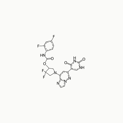 O=C(Nc1ccc(F)cc1F)OC1CN(c2cc(-c3c[nH]c(=O)[nH]c3=O)nn3ccnc23)CC1(F)F